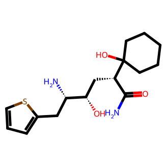 NC(=O)[C@H](C[C@H](O)[C@@H](N)Cc1cccs1)C1(O)CCCCC1